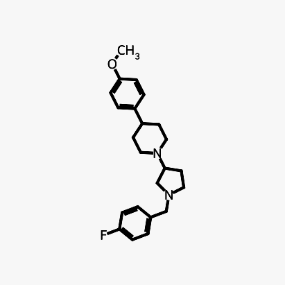 COc1ccc(C2CCN(C3CCN(Cc4ccc(F)cc4)C3)CC2)cc1